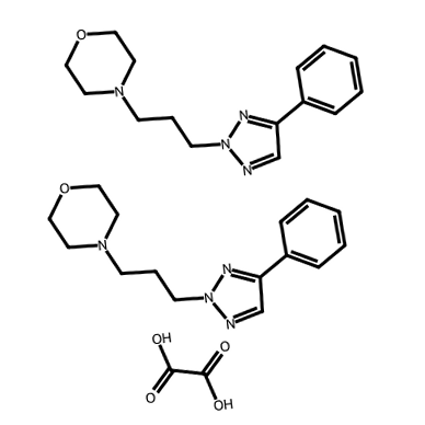 O=C(O)C(=O)O.c1ccc(-c2cnn(CCCN3CCOCC3)n2)cc1.c1ccc(-c2cnn(CCCN3CCOCC3)n2)cc1